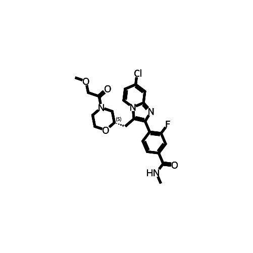 CNC(=O)c1ccc(-c2nc3cc(Cl)ccn3c2C[C@H]2CN(C(=O)COC)CCO2)c(F)c1